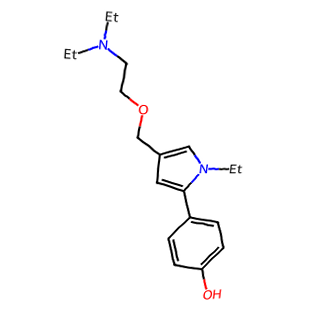 CCN(CC)CCOCc1cc(-c2ccc(O)cc2)n(CC)c1